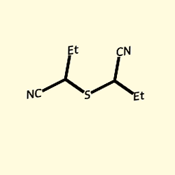 CCC(C#N)SC(C#N)CC